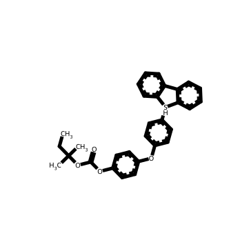 CCC(C)(C)OC(=O)Oc1ccc(Oc2ccc([SH]3c4ccccc4-c4ccccc43)cc2)cc1